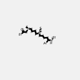 CCNC(CCCCN(CCCCN(C)CC(=O)CC)N=S)C(C)=O